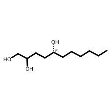 CCCCCC[C@@H](O)CCC(O)CO